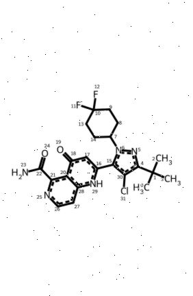 CC(C)(C)c1nn(C2CCC(F)(F)CC2)c(-c2cc(=O)c3c(C(N)=O)nccc3[nH]2)c1Cl